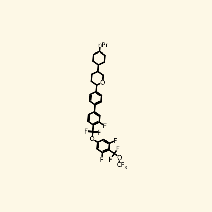 CCCC1CCC(C2CCC(c3ccc(-c4ccc(C(F)(F)Oc5cc(F)c(C(F)(F)OC(F)(F)F)c(F)c5)c(F)c4)cc3)OC2)CC1